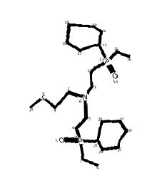 CCP(=O)(CCN(CCSC)CCP(=O)(CC)C1CCCCC1)C1CCCCC1